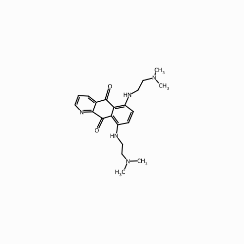 CN(C)CCNc1ccc(NCCN(C)C)c2c1C(=O)c1cccnc1C2=O